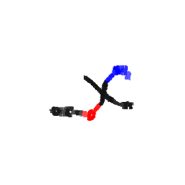 CC(C)C(C)(N)O[C]=O